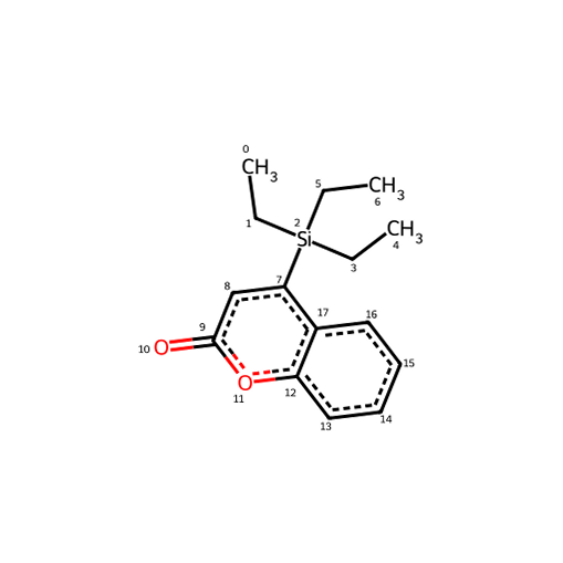 CC[Si](CC)(CC)c1cc(=O)oc2ccccc12